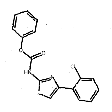 O=C(Nc1nc(-c2ccccc2Cl)cs1)Oc1ccccc1